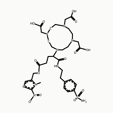 Cn1c(COC(=O)CCC(C(=O)NCCc2ccc(S(N)(=O)=O)cc2)N2CCN(CC(=O)O)CCN(CC(=O)O)CCN(CC(=O)O)CC2)cnc1[N+](=O)[O-]